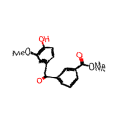 COC(=O)c1cccc(C(=O)c2ccc(O)c(OC)c2)c1